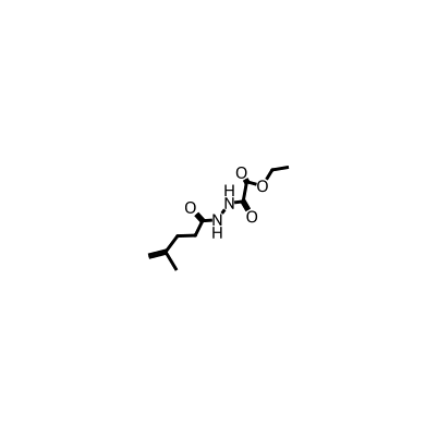 C=C(C)CCC(=O)NNC(=O)C(=O)OCC